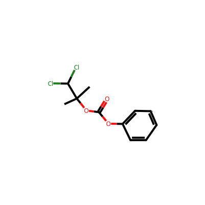 CC(C)(OC(=O)Oc1c[c]ccc1)C(Cl)Cl